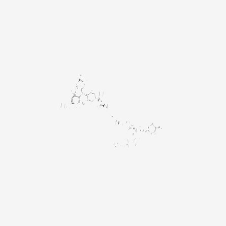 COC1=CC2C(CC(=O)NCCCCNC(=S)Nc3ccc(-c4c5ccc(=O)cc-5oc5cc(O)ccc45)c(C(=O)O)c3)=C(C)N(COc3ccc(Cl)cc3)C2C=C1